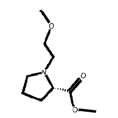 COCCN1CCC[C@H]1C(=O)OC